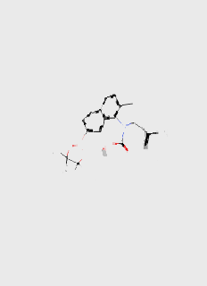 C=C(C#N)CN(C(=O)OCCCC)c1c(C)ccc2ccc(B3OC(C)(C)C(C)(C)O3)cc12